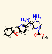 CCCCOC(=O)N(C)C/C(=C(/N)c1ccc(OC2CCCCC2)cn1)N(C)N